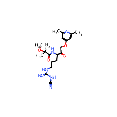 COC(C)(C)C(=O)NC(CCCNC(=N)NC#N)C(=O)COc1cc(C)nc(C)c1